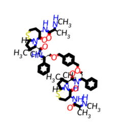 CN[C@@H](C)C(=O)N[C@H]1CCS[C@H]2CC(C)(C)[C@@H](C(=O)N[C@H](COCc3ccc(COC[C@@H](NC(=O)[C@H]4N5C(=O)[C@@H](NC(=O)[C@H](C)NC)CCS[C@H]5CC4(C)C)c4ccccc4)cc3)c3ccccc3)N2C1=O